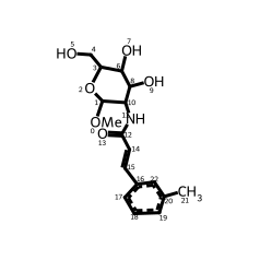 COC1OC(CO)C(O)C(O)C1NC(=O)/C=C/c1cccc(C)c1